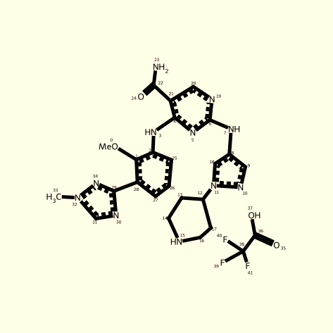 COc1c(Nc2nc(Nc3cnn(C4CCNCC4)c3)ncc2C(N)=O)cccc1-c1ncn(C)n1.O=C(O)C(F)(F)F